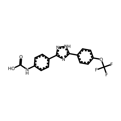 O=C(O)Nc1ccc(-c2n[nH]c(-c3ccc(OC(F)(F)F)cc3)n2)cc1